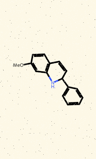 COc1ccc2c(c1)N[C](c1ccccc1)C=C2